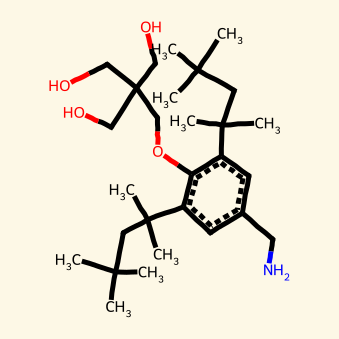 CC(C)(C)CC(C)(C)c1cc(CN)cc(C(C)(C)CC(C)(C)C)c1OCC(CO)(CO)CO